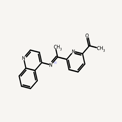 CC(=O)c1cccc(/C(C)=N/c2ccnc3ccccc23)n1